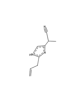 C=CCc1nc(C(C)C#N)c[nH]1